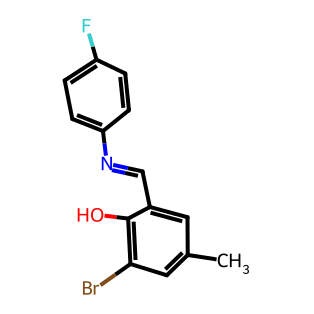 Cc1cc(Br)c(O)c(/C=N/c2ccc(F)cc2)c1